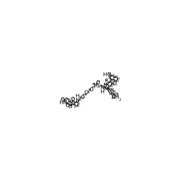 CN(CCOCCOCCOCCNc1cccc2c1C(=O)N(C1CCC(=O)NC1=O)C2=O)C(=O)CCNc1nc(N2CCN(C(N)=O)CC2)c2cc(Cl)c(-c3cc(O)cc4ccccc34)c(F)c2n1